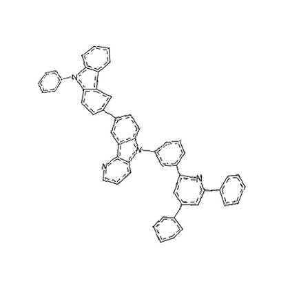 c1ccc(-c2cc(-c3ccccc3)nc(-c3cccc(-n4c5ccc(-c6ccc7c(c6)c6ccccc6n7-c6ccccc6)cc5c5ncccc54)c3)c2)cc1